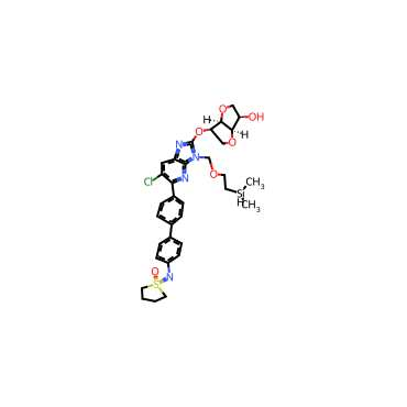 C[SiH](C)CCOCn1c(O[C@@H]2CO[C@H]3[C@@H]2OC[C@H]3O)nc2cc(Cl)c(-c3ccc(-c4ccc(N=S5(=O)CCCC5)cc4)cc3)nc21